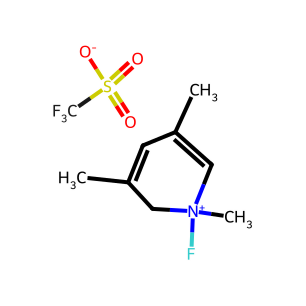 CC1=C[N+](C)(F)CC(C)=C1.O=S(=O)([O-])C(F)(F)F